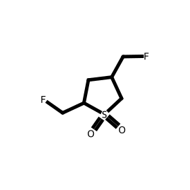 O=S1(=O)CC(CF)CC1CF